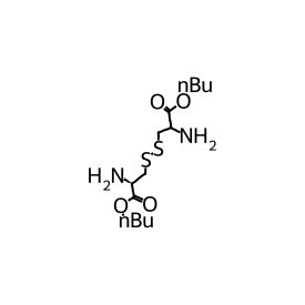 CCCCOC(=O)C(N)CSSC[C@H](N)C(=O)OCCCC